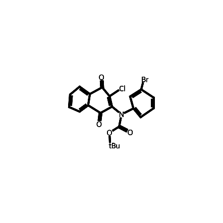 CC(C)(C)OC(=O)N(C1=C(Cl)C(=O)c2ccccc2C1=O)c1cccc(Br)c1